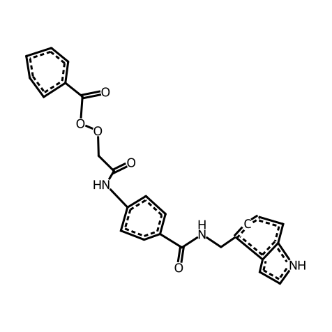 O=C(COOC(=O)c1ccccc1)Nc1ccc(C(=O)NCc2cccc3[nH]ccc23)cc1